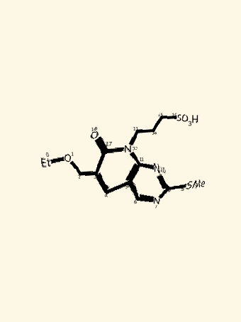 CCOCc1cc2cnc(SC)nc2n(CCCS(=O)(=O)O)c1=O